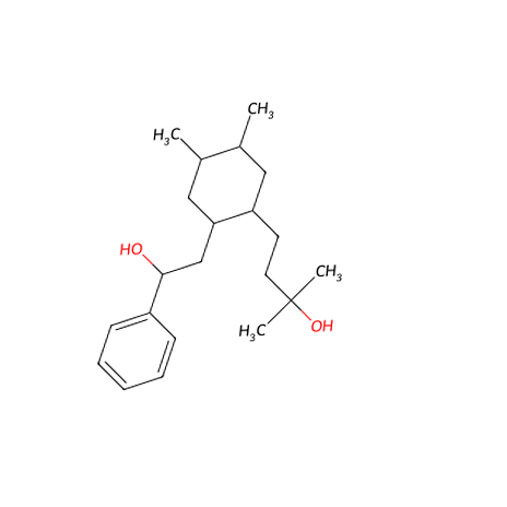 CC1CC(CCC(C)(C)O)C(CC(O)c2ccccc2)CC1C